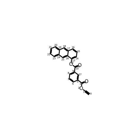 C#COC(=O)c1cccc(C(=O)Oc2cccc3cc4ccccc4cc23)c1